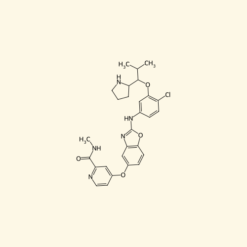 CNC(=O)c1cc(Oc2ccc3oc(Nc4ccc(Cl)c(OC(C(C)C)C5CCCN5)c4)nc3c2)ccn1